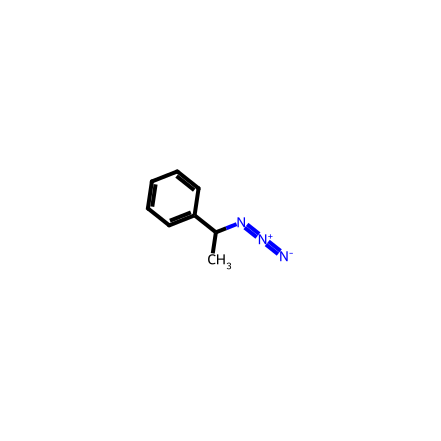 CC(N=[N+]=[N-])c1ccccc1